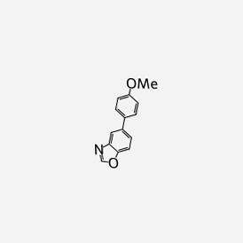 COc1ccc(-c2ccc3ocnc3c2)cc1